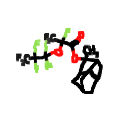 CC1(OC(=O)C(F)(OC(F)(F)C(F)(F)C(F)(F)F)C(F)(F)F)C2CC3CC(C2)CC1C3